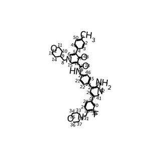 Cc1ccc(-c2cn(CC3CCOCC3)cc(C(=O)Nc3ccc(-c4cc(-c5ccc(CN6CCOCC6)c(F)c5)cnc4N)cc3)c2=O)cc1